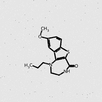 CCCN1CCNC(=O)c2sc3ccc(OC)cc3c21